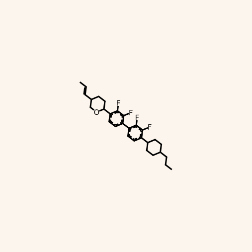 C/C=C/C1CCC(c2ccc(-c3ccc(C4CCC(CCC)CC4)c(F)c3F)c(F)c2F)OC1